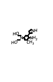 Cc1cc(N(CCO)CCO)cc(-c2cc[nH]c2)c1N